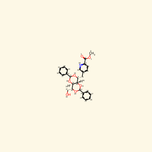 COC(=O)c1ccc(C[C@H]2OC(c3ccccc3)O[C@H]3[C@H]2OC(c2ccccc2)O[C@@H]3CO)cn1